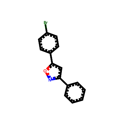 Brc1ccc(-c2cc(-c3ccccc3)no2)cc1